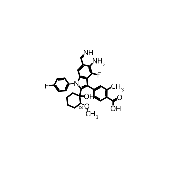 CO[C@H]1CCCCC1(O)c1c(-c2ccc(C(=O)O)c(C)c2)c2c(F)c(N)c(C=N)cc2n1-c1ccc(F)cc1